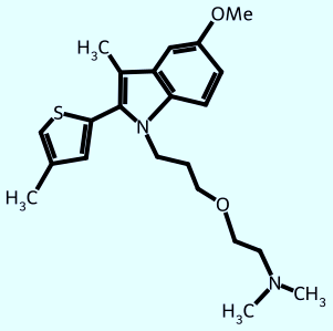 COc1ccc2c(c1)c(C)c(-c1cc(C)cs1)n2CCCOCCN(C)C